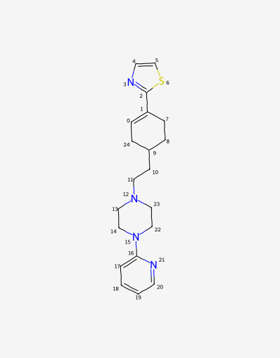 C1=C(c2nccs2)CCC(CCN2CCN(c3ccccn3)CC2)C1